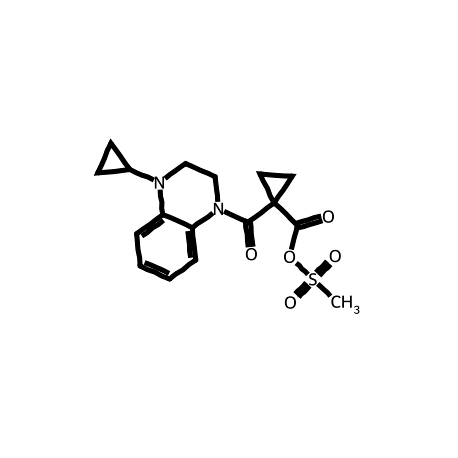 CS(=O)(=O)OC(=O)C1(C(=O)N2CCN(C3CC3)c3ccccc32)CC1